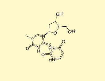 Cc1cn([C@H]2C[C@H](O)[C@@H](CO)O2)c(=S)[nH]c1=O.O=c1cc[nH]c(=O)[nH]1